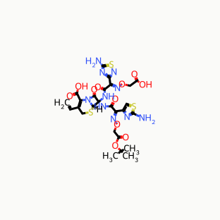 C=CC1=C(C(=O)O)N2C(=O)C(NC(=O)C(=NOCC(=O)OC(C)(C)C)c3csc(N)n3)(NC(=O)C(=NOCC(=O)O)c3nsc(N)n3)[C@@H]2SC1